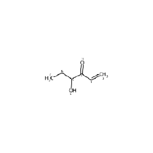 C=CC(=O)C(O)[CH]C